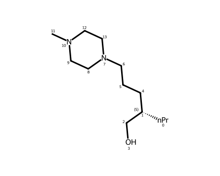 CCC[C@H](CO)CCCN1CCN(C)CC1